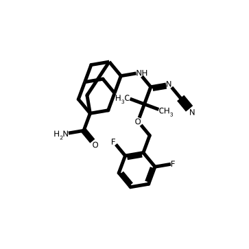 CC(C)(OCc1c(F)cccc1F)/C(=N\C#N)NC1C2CC3CC1CC(C(N)=O)(C3)C2